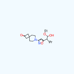 CCOC(O)C(c1cc(N2CCC3(CC2)CC(=O)C3)no1)C(C)C